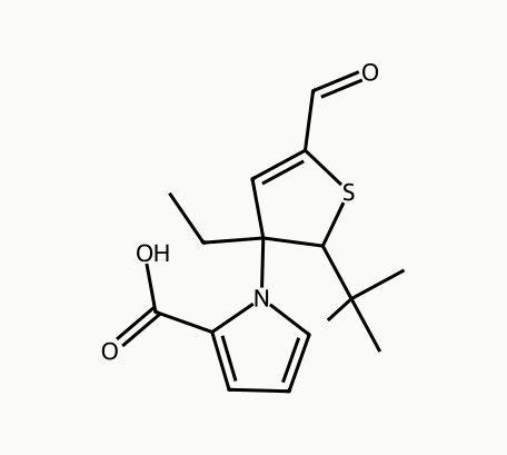 CCC1(n2cccc2C(=O)O)C=C(C=O)SC1C(C)(C)C